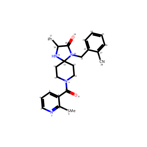 CSc1ncccc1C(=O)N1CCC2(CC1)NC(C(C)C)C(=O)N2Cc1ccccc1C#N